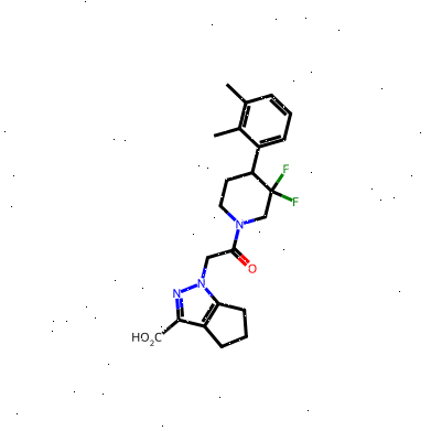 Cc1cccc(C2CCN(C(=O)Cn3nc(C(=O)O)c4c3CCC4)CC2(F)F)c1C